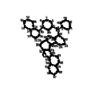 c1ccc(N(c2cccc(-c3cccc4ccccc34)c2)c2cccc3c2sc2ccc4oc5c6ccccc6ccc5c4c23)cc1